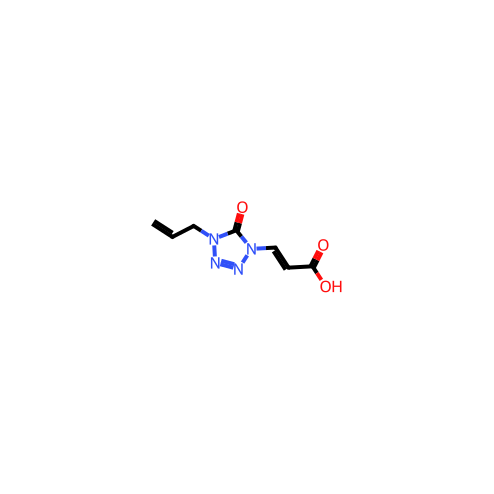 C=CCn1nnn(C=CC(=O)O)c1=O